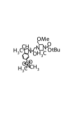 COC[C@H]1CN(C(=O)OC(C)(C)C)[C@H](C)CN1CC(=O)N1CC(C)(C)c2ccc(S(=O)(=O)N(C)C)cc21